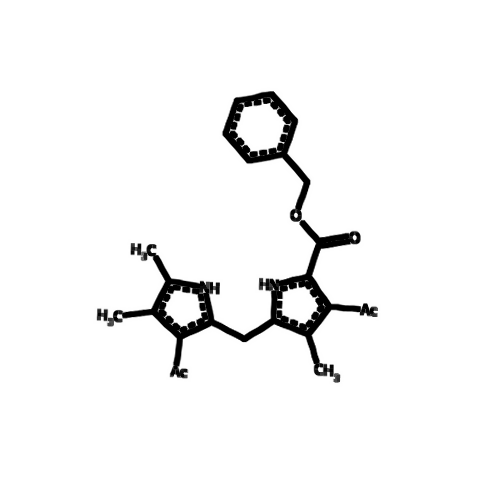 CC(=O)c1c(Cc2[nH]c(C(=O)OCc3ccccc3)c(C(C)=O)c2C)[nH]c(C)c1C